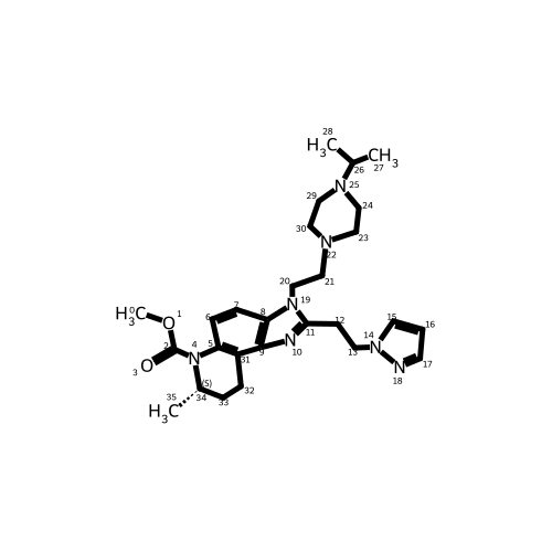 COC(=O)N1c2ccc3c(nc(CCn4cccn4)n3CCN3CCN(C(C)C)CC3)c2CC[C@@H]1C